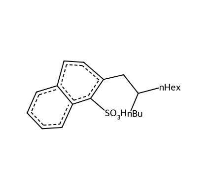 CCCCCCC(CCCC)Cc1ccc2ccccc2c1S(=O)(=O)O